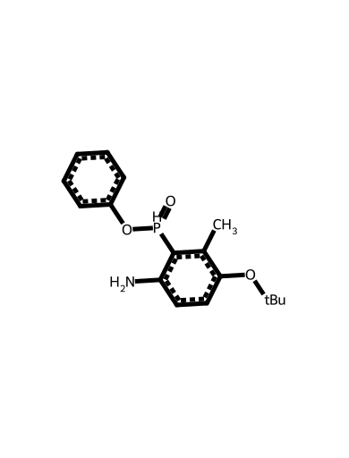 Cc1c(OC(C)(C)C)ccc(N)c1[PH](=O)Oc1ccccc1